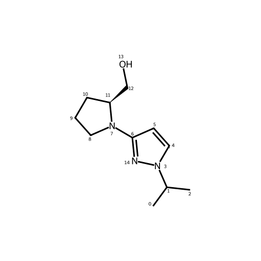 CC(C)n1[c]cc(N2CCC[C@H]2CO)n1